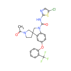 CC(=O)N1CCC2(C1)CN(C(=O)Nc1ncc(Cl)s1)c1ccc(Oc3ccccc3C(F)(F)F)cc12